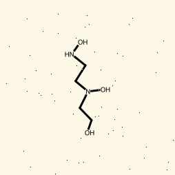 OCCN(O)CCNO